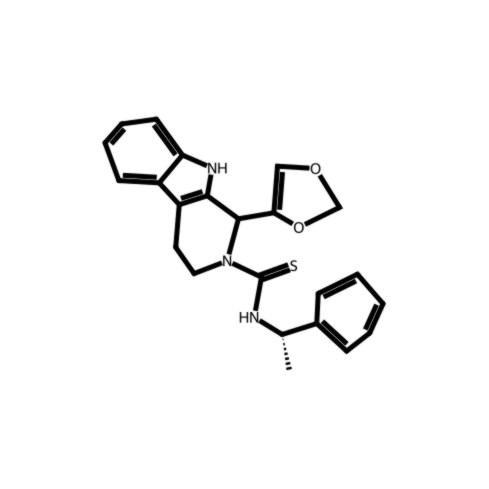 C[C@H](NC(=S)N1CCc2c([nH]c3ccccc23)C1C1=COCO1)c1ccccc1